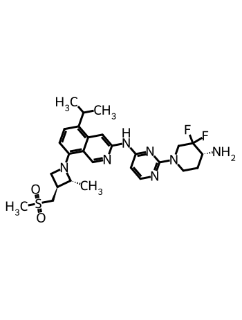 CC(C)c1ccc(N2C[C@H](CS(C)(=O)=O)[C@H]2C)c2cnc(Nc3ccnc(N4CC[C@@H](N)C(F)(F)C4)n3)cc12